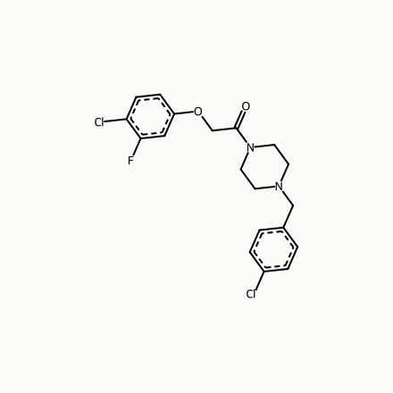 O=C(COc1ccc(Cl)c(F)c1)N1CCN(Cc2ccc(Cl)cc2)CC1